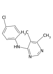 Cc1ncnc(Nc2ccc(Cl)cc2)c1C